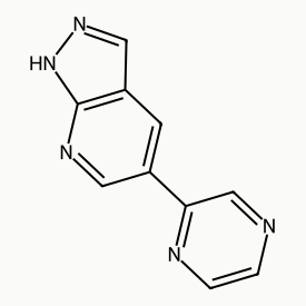 c1cnc(-c2cnc3[nH]ncc3c2)cn1